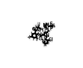 Cc1cc(I)cc(C(=O)NC(C)(C)C)c1NC(=O)c1cc(Cn2nnnc2C(F)(F)F)nn1-c1ncccc1Cl